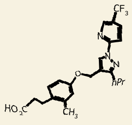 CCCc1nn(-c2ccc(C(F)(F)F)cn2)cc1COc1ccc(CCC(=O)O)c(C)c1